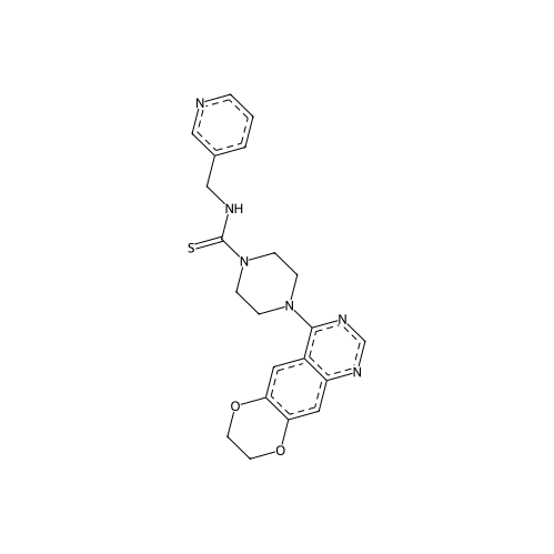 S=C(NCc1cccnc1)N1CCN(c2ncnc3cc4c(cc23)OCCO4)CC1